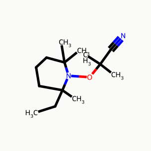 CCC1(C)CCCC(C)(C)N1OC(C)(C)C#N